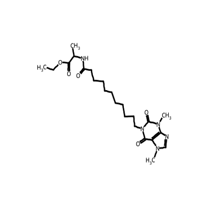 CCOC(=O)C(C)NC(=O)CCCCCCCCCCn1c(=O)c2c(ncn2C)n(C)c1=O